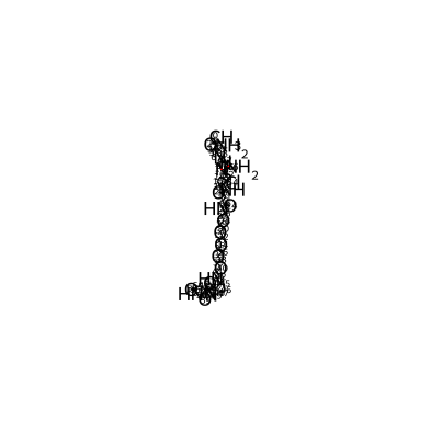 C[C@@H]1OCC2(CCN(c3cnc(Sc4cccc(NC(=O)CCC(=O)NCCOCCOCCOCCOCCOCCNc5cccc6cnn(C7CCC(=O)NC7=O)c(=O)c56)c4Cl)c(N)n3)CC2)[C@@H]1N